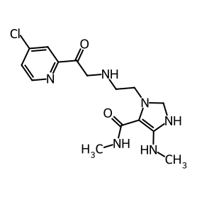 CNC(=O)C1=C(NC)NCN1CCNCC(=O)c1cc(Cl)ccn1